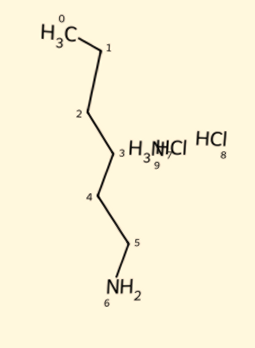 CCCCCCN.Cl.Cl.N